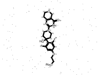 COCCOc1cc(F)c(C2(O)CCN(c3nc4c(c(=O)[nH]3)COCC4)CC2)c(F)c1